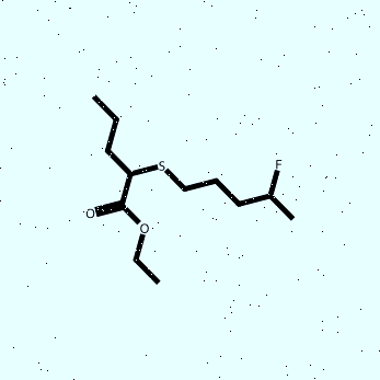 CCCC(SCCCC(C)F)C(=O)OCC